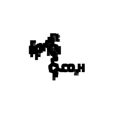 CCn1cc(N2CC(F)(F)C(F)(F)C2)c2nc(SCc3ccc(F)c(CC(=O)O)c3)ncc21